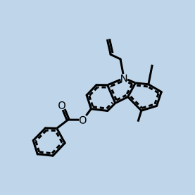 C=CCn1c2ccc(OC(=O)c3ccccc3)cc2c2c(C)ccc(C)c21